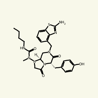 CCCCNC(=O)N(C)N1CC(=O)N2[C@@H](Cc3ccc(O)cc3)C(=O)N(Cc3cccc4sc(N)nc34)C[C@@H]21